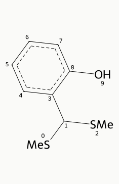 CSC(SC)c1ccccc1O